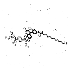 CCCCCCCCCCCCCC(=O)Nc1ccc(-c2cc(=O)oc3cc(O[C@@H](C)C(=O)N4CCN(C(=O)OC(C)(C)C)CC4)ccc23)c(Cl)c1